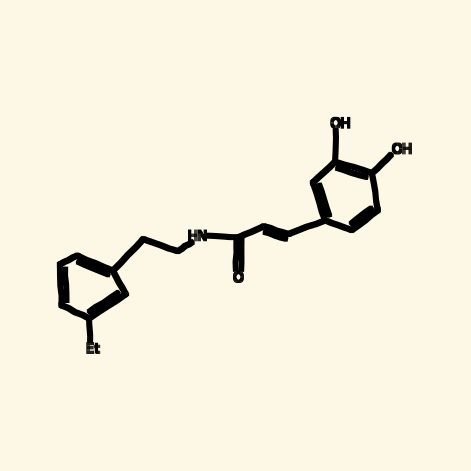 [CH2]Cc1cccc(CCNC(=O)/C=C/c2ccc(O)c(O)c2)c1